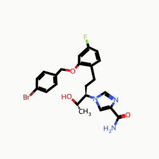 C[C@H](O)[C@@H](CCc1ccc(F)cc1OCc1ccc(Br)cc1)n1cnc(C(N)=O)c1